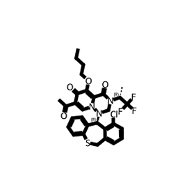 CCCCOc1c2n(cc(C(C)=O)c1=O)N([C@@H]1c3ccccc3SCc3cccc(Cl)c31)CN([C@H](C)C(F)(F)F)C2=O